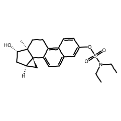 CCN(CC)S(=O)(=O)Oc1ccc2c3c(ccc2c1)[C@]12C[C@H]1C[C@H](O)[C@@]2(C)CC3